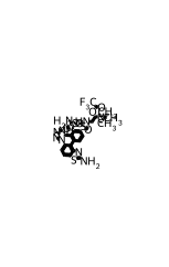 C[N+](C)(C)C(CNS(=O)(=O)c1ccc(-c2cccc3sc(N)nc23)c(-c2nnn[nH]2)c1S(N)(=O)=O)OC(=O)C(F)(F)F